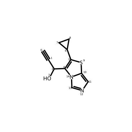 C#CC(O)c1c(C2CC2)sc2cncn12